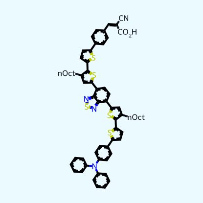 CCCCCCCCc1cc(-c2ccc(-c3cc(CCCCCCCC)c(-c4ccc(-c5ccc(N(c6ccccc6)c6ccccc6)cc5)s4)s3)c3nsnc23)sc1-c1ccc(-c2ccc(C=C(C#N)C(=O)O)cc2)s1